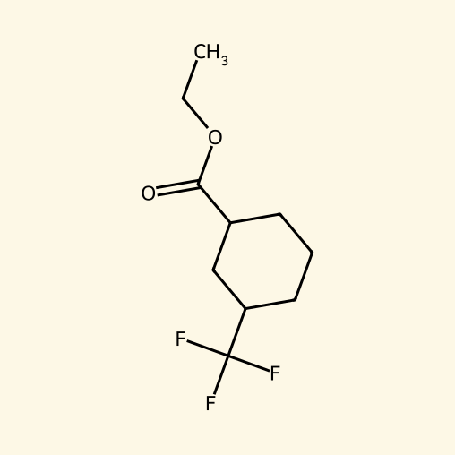 CCOC(=O)C1CCCC(C(F)(F)F)C1